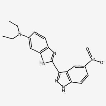 CCN(CC)c1ccc2nc(-c3n[nH]c4ccc([N+](=O)[O-])cc34)[nH]c2c1